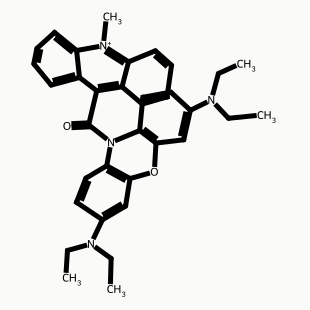 CCN(CC)c1ccc2c(c1)Oc1cc(N(CC)CC)ccc1N2C(=O)c1c2ccccc2[n+](C)c2ccccc12